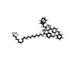 CCCCC/C=C\C/C=C\CCCCCCCCOC(=O)c1ccc(COc2ccccc2CN2CCN(C(=O)CNC(=O)CC34CC5CC(CC3C5)C4)CC2)cc1